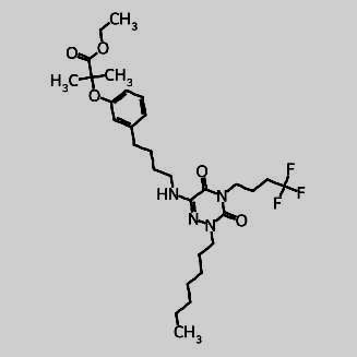 CCCCCCCn1nc(NCCCCc2cccc(OC(C)(C)C(=O)OCC)c2)c(=O)n(CCCC(F)(F)F)c1=O